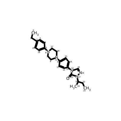 CCc1ccc(N2CCN(c3ccc(-n4cnn(C(C)CC)c4=O)cc3)CC2)cc1